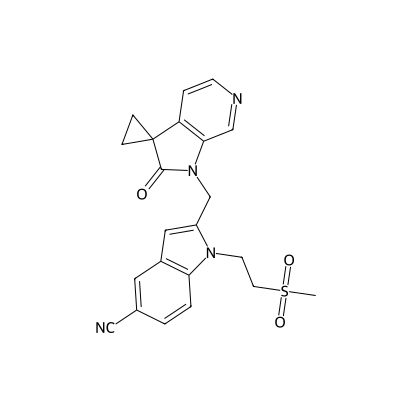 CS(=O)(=O)CCn1c(CN2C(=O)C3(CC3)c3ccncc32)cc2cc(C#N)ccc21